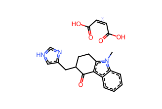 Cn1c2c(c3ccccc31)C(=O)C(Cc1c[nH]cn1)CC2.O=C(O)/C=C\C(=O)O